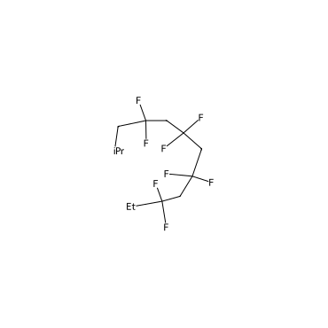 CCC(F)(F)CC(F)(F)CC(F)(F)CC(F)(F)CC(C)C